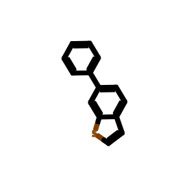 [c]1cc2ccc(-c3ccccc3)cc2s1